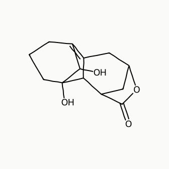 O=C1OC2CC3=C4CCCC(O)(C4O)C3C1C2